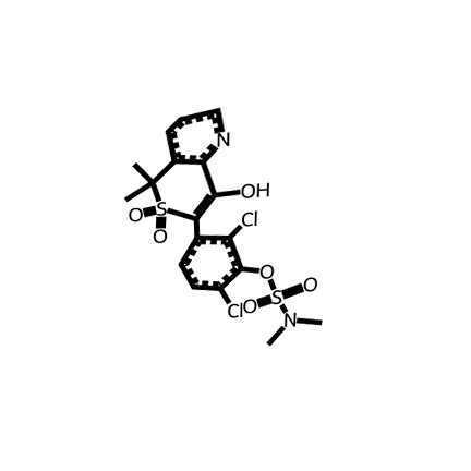 CN(C)S(=O)(=O)Oc1c(Cl)ccc(C2=C(O)c3ncccc3C(C)(C)S2(=O)=O)c1Cl